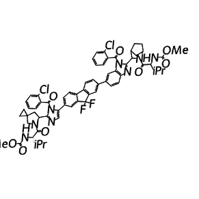 COC(=O)NC(C(=O)N1C2CCC(C2)C1c1nc2ccc(-c3ccc4c(c3)C(F)(F)c3cc(-c5cnc(C6CC7(CC7)CN6C(=O)[C@@H](NC(=O)OC)C(C)C)n5C(=O)c5ccccc5Cl)ccc3-4)cc2n1C(=O)c1ccccc1Cl)C(C)C